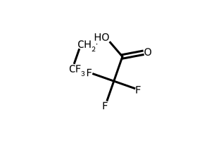 O=C(O)C(F)(F)F.[CH2]C(F)(F)F